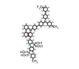 CCCCCCCCC1(CCCCCCCC)c2cc(C)ccc2-c2cc3c(cc21)-c1ccc(-c2ccc(N(c4ccc(-c5ccc(N(c6ccc(C)cc6)c6ccc(-c7cccc(C(F)(F)F)c7)cc6)cc5)cc4)c4ccccc4-c4ccccc4)cc2)cc1C3(CCCCCCCC)CCCCCCCC